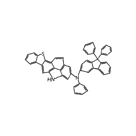 c1ccc(N(c2ccc3c(c2)-c2ccccc2C3(c2ccccc2)c2ccccc2)c2cc3ccc4c5sc6ccccc6c5cc5[nH]c(c2)c3c54)cc1